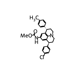 COC(=O)Nc1cc2c3c(c1)[C@H](c1ccc(Cl)cc1)CCN3CC[C@H]2c1ccc(C)cc1